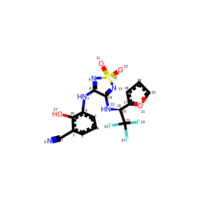 N#Cc1cccc(NC2=NS(=O)(=O)N=C2N[C@@H](c2ccco2)C(F)(F)F)c1O